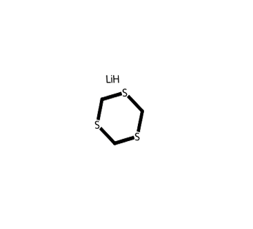 C1SCSCS1.[LiH]